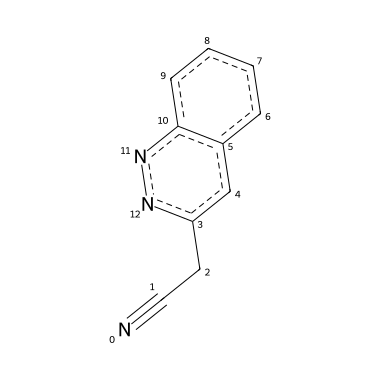 N#CCc1cc2ccccc2nn1